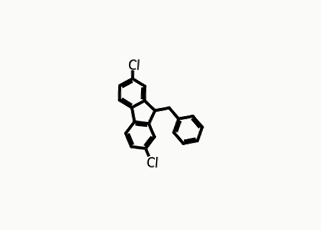 Clc1ccc2c(c1)C(Cc1ccccc1)c1cc(Cl)ccc1-2